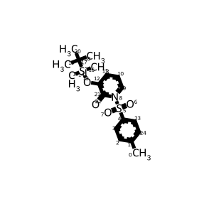 Cc1ccc(S(=O)(=O)n2cccc(O[Si](C)(C)C(C)(C)C)c2=O)cc1